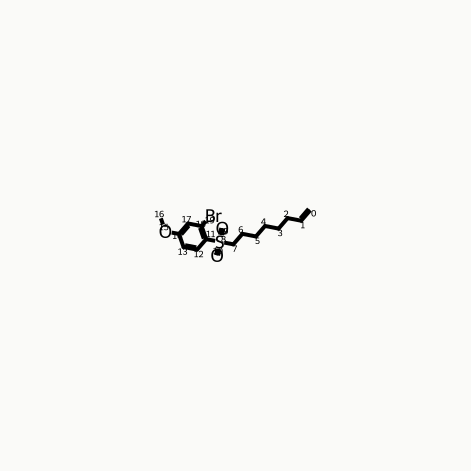 C=CCCCCCCS(=O)(=O)c1ccc(OC)cc1Br